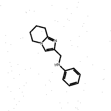 c1ccc(NCc2cn3c(n2)CCCC3)cc1